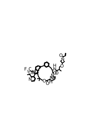 C=CC(=O)N1CC(OCC(C)C(=O)N[C@H]2Cc3cccc(c3)-c3ccc4c(c3)c(c(-c3cccnc3[C@H](C)OC)n4CC(F)(F)F)CC(C)(C)COC(=O)[C@@H]3CCCN(N3)C2=O)C1